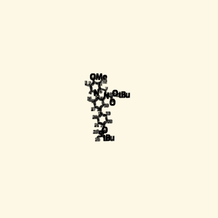 COc1c(C)cnc(CN(C(=O)OC(C)(C)C)c2cc(C)cc(-c3ccc(O[Si](C)(C)C(C)(C)C)cc3)c2)c1C